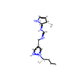 CCC[C@H](C)n1cc(C/N=C\N=C2\NC=C[C@@H]2C)cn1